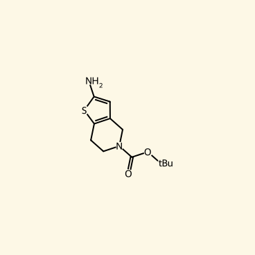 CC(C)(C)OC(=O)N1CCc2sc(N)cc2C1